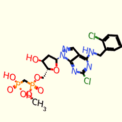 COP(=O)(CP(=O)(O)O)OC[C@H]1O[C@@H](n2ncc3c(NCc4ccccc4Cl)nc(Cl)nc32)C[C@@H]1O